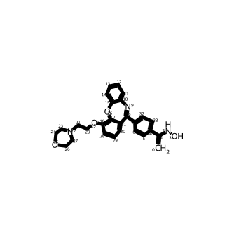 C=C(NO)c1ccc(C2=Nc3ccccc3Oc3c(OCCN4CCOCC4)cccc32)cc1